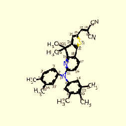 Cc1ccc(N(c2cc(C)c(C)c(C)c2)c2ccc3c(n2)C(C)(C)c2cc(C=C(C#N)C#N)sc2-3)cc1C